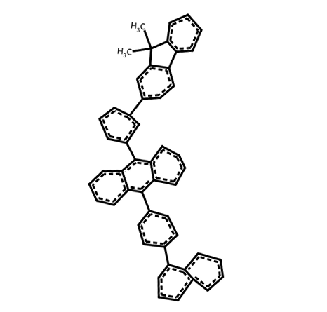 CC1(C)c2ccccc2-c2ccc(-c3cccc(-c4c5ccccc5c(-c5ccc(-c6cccc7ccccc67)cc5)c5ccccc45)c3)cc21